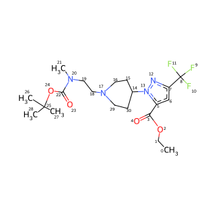 CCOC(=O)c1cc(C(F)(F)F)nn1C1CCN(CCN(C)C(=O)OC(C)(C)C)CC1